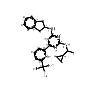 CC(Nc1nc(NC2Cc3ccccc3C2)nc(-c2cccc(C(F)(F)F)n2)n1)C1CC1